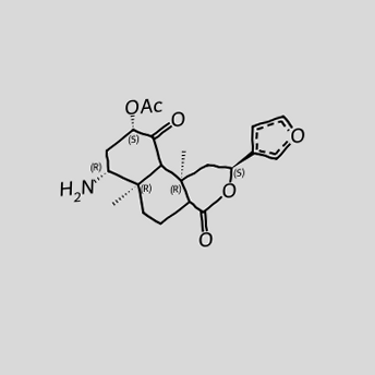 CC(=O)O[C@H]1C[C@@H](N)[C@]2(C)CCC3C(=O)O[C@H](c4ccoc4)C[C@]3(C)C2C1=O